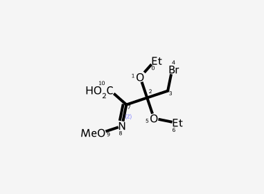 CCOC(CBr)(OCC)/C(=N/OC)C(=O)O